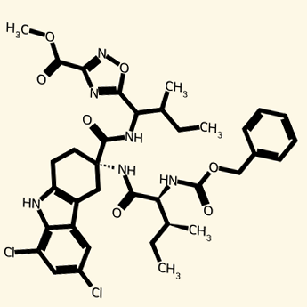 CCC(C)C(NC(=O)[C@]1(NC(=O)[C@@H](NC(=O)OCc2ccccc2)[C@@H](C)CC)CCc2[nH]c3c(Cl)cc(Cl)cc3c2C1)c1nc(C(=O)OC)no1